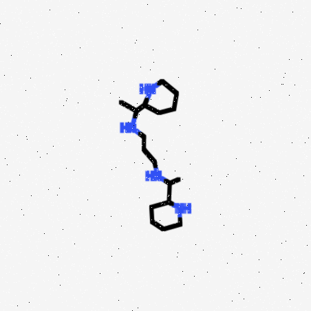 CC(NCCCNC(C)C1CCCCN1)C1CCCCN1